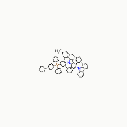 CC1C=CC=C(c2cc(S(c3ccccc3)(c3ccccc3)c3ccc(-c4ccccc4)cc3)cc(-c3ccccc3)c2-n2c3c(c4cc(-n5c6ccccc6c6cccc(-c7ccccc7)c65)ccc42)C=CCC3)C1